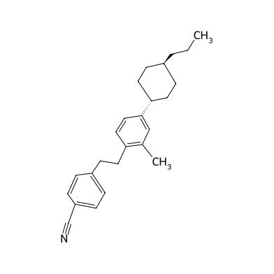 CCC[C@H]1CC[C@H](c2ccc(CCc3ccc(C#N)cc3)c(C)c2)CC1